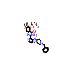 COc1cc(OC)c2c(=O)[nH]c(-c3ncccc3NC3CCN(Cc4ccccc4)CC3)nc2c1